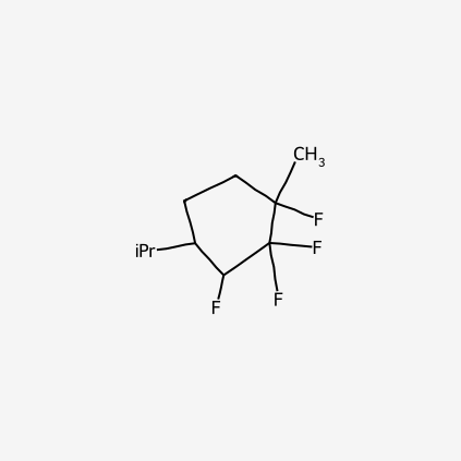 CC(C)C1CCC(C)(F)C(F)(F)C1F